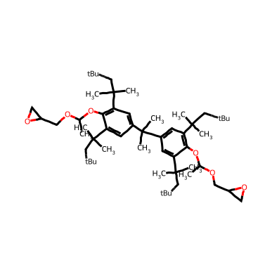 CC(OCC1CO1)Oc1c(C(C)(C)CC(C)(C)C)cc(C(C)(C)c2cc(C(C)(C)CC(C)(C)C)c(OC(C)OCC3CO3)c(C(C)(C)CC(C)(C)C)c2)cc1C(C)(C)CC(C)(C)C